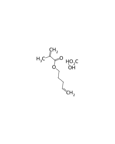 C=CCCCOC(=O)C(=C)C.O=C(O)O